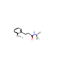 Cc1ccccc1[CH]CC(=O)N[C@H](C)C(C)C